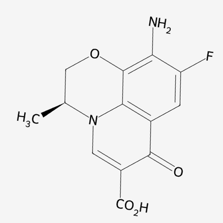 C[C@H]1COc2c(N)c(F)cc3c(=O)c(C(=O)O)cn1c23